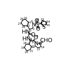 CN(CC(NC(=O)N[C@H](C(=O)N1CCC[C@H]1C=O)C1CCCCC1)C1CCCCC1)S(=O)(=O)c1cccs1